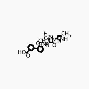 COc1c(N/N=C2/C(=O)N(c3cc(C)[nH]n3)N=C2C)cccc1-c1cccc(C(=O)O)c1